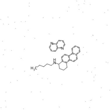 CCCCCNC1CCCc2c1ccc1c2ccc2ccccc21.c1cnc2cccnc2c1